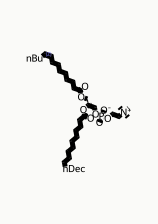 CCCC/C=C\CCCCCCCC(=O)OC[C@H](COP(=O)([O-])OCC[N+](C)(C)C)OC(=O)CCCCCCCCCCCCCCCCCCC